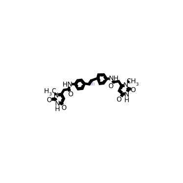 Cn1c(CC(=O)Nc2ccc(/C=C/c3ccc(NC(=O)Cc4cc(=O)[nH]c(=O)n4C)cc3)cc2)cc(=O)[nH]c1=O